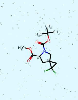 COC(=O)[C@@H]1C[C@@]2(CN1C(=O)OC(C)(C)C)CC2(F)F